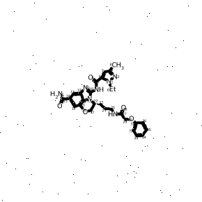 CCn1nc(C)cc1C(=O)Nc1nc2cc(C(N)=O)cc3c2n1[C@@H](CCCNC(=O)COc1ccccc1)CO3